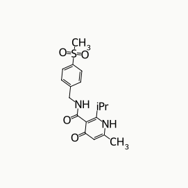 Cc1cc(=O)c(C(=O)NCc2ccc(S(C)(=O)=O)cc2)c(C(C)C)[nH]1